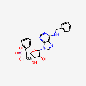 CSC(c1ccccc1)([C@H]1O[C@@H](n2cnc3c(NCc4ccccc4)ncnc32)C(O)[C@@H]1O)P(=O)(O)O